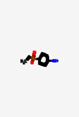 C=CS(=O)(=O)c1ccc([NH])cc1